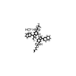 C=CCCOC(=O)Nc1ccc2[nH]cc(C3=CCN4CCCCC4C3)c2c1.CCc1sc2ccc(NC(=O)OC(C)C)cc2c1C1=CCN2CCCC2C1.Cl